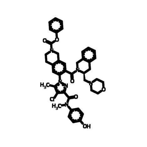 Cc1c(Cl)c(C(=O)N(C)c2ccc(O)cc2)nn1-c1cc2c(cc1C(=O)N1Cc3ccccc3C[C@H]1CN1CCOCC1)CN(C(=O)Oc1ccccc1)CC2